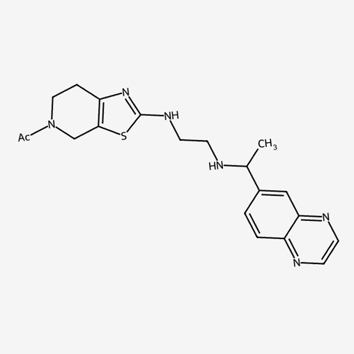 CC(=O)N1CCc2nc(NCCNC(C)c3ccc4nccnc4c3)sc2C1